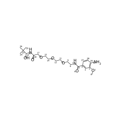 COc1cc(C(=O)NCCOCCOCCOCC(=O)NC(O)C(C)(C)C)ccc1N